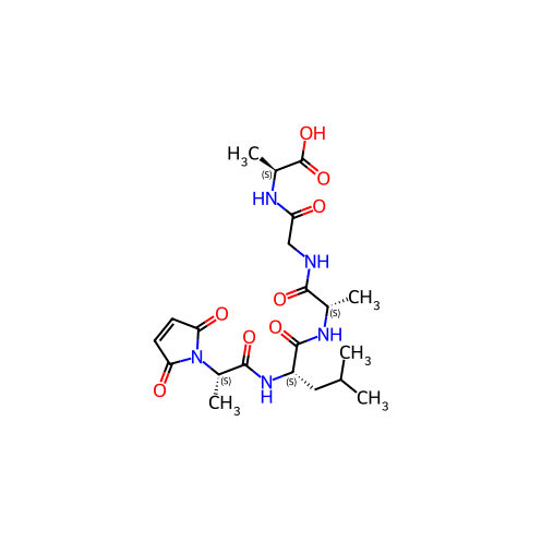 CC(C)C[C@H](NC(=O)[C@H](C)N1C(=O)C=CC1=O)C(=O)N[C@@H](C)C(=O)NCC(=O)N[C@@H](C)C(=O)O